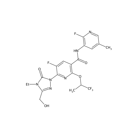 CCn1c(CO)nn(-c2nc(OC(C)C(F)(F)F)c(C(=O)Nc3cc(C)cnc3F)cc2F)c1=O